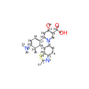 Cc1nc2ccc(-n3cc(C(=O)O)c(=O)cc3C3=CC=C(N(C)C)C(C)C3)cc2s1